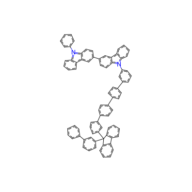 c1ccc(-c2cccc(C3(c4cccc(-c5ccc(-c6ccc(-c7cccc(-n8c9ccccc9c9cc(-c%10ccc%11c(c%10)c%10ccccc%10n%11-c%10ccccc%10)ccc98)c7)cc6)cc5)c4)c4ccccc4-c4ccccc43)c2)cc1